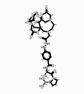 C[C@@H](NC(=O)c1ccc(NNC(=O)CN2CCN3CC(=O)OC4(CN5CCN6CC(=O)OC(C2)(C6)C4OC(=O)C5)C3)cc1)C(=O)N1CCC[C@H]1B(O)O